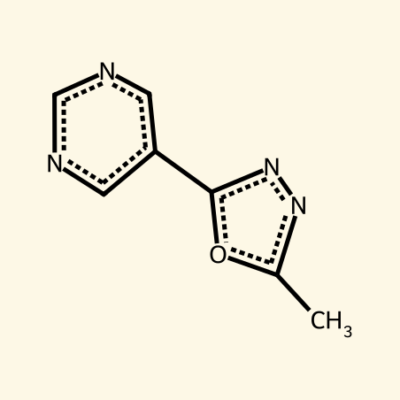 Cc1nnc(-c2cncnc2)o1